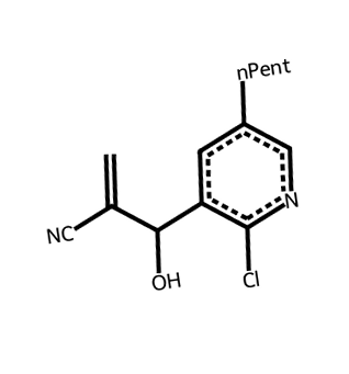 C=C(C#N)C(O)c1cc(CCCCC)cnc1Cl